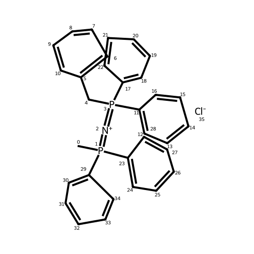 CP(=[N+]=P(Cc1ccccc1)(c1ccccc1)c1ccccc1)(c1ccccc1)c1ccccc1.[Cl-]